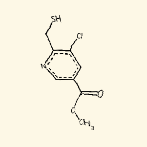 COC(=O)c1cnc(CS)c(Cl)c1